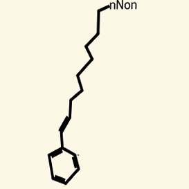 CCCCCCCCCCCCCCCCC=Cc1[c]cccc1